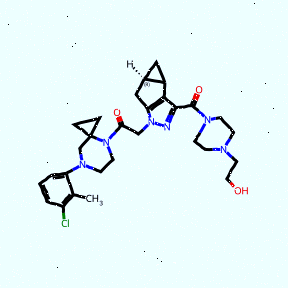 Cc1c(Cl)cccc1N1CCN(C(=O)Cn2nc(C(=O)N3CCN(CCO)CC3)c3c2C[C@H]2CC32)C2(CC2)C1